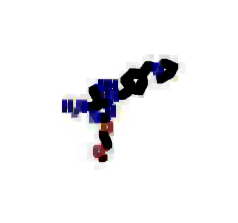 COCCOc1nc(N)c(C=N)c(NCc2ccc(CN3CCCC3)cc2)n1